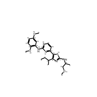 CCC(C)c1nc(NC(C)COC)sc1-c1ccnc(Nc2cc(OC)ccc2OC)n1